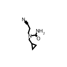 N#CCCN(CC1CC1)C(N)=O